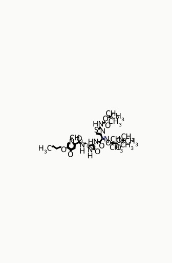 CCCCOc1cn(C)c(C(=O)NC[C@H]2NC(=O)[C@H]2NC(=O)/C(=N\OC(C)(C)C(=O)OC(C)(C)C)c2csc(NC(=O)OC(C)(C)C)n2)cc1=O